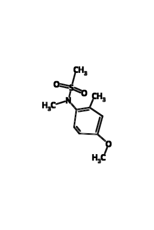 COc1ccc(N(C)S(C)(=O)=O)c(C)c1